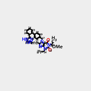 CCCCCc1nc2c(c(=O)n(C(C)OC)c(=O)n2CC(C)C)n1Cc1ccc(-c2ccccc2-c2nnn[nH]2)cc1